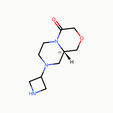 O=C1COC[C@@H]2CN(C3CNC3)CCN12